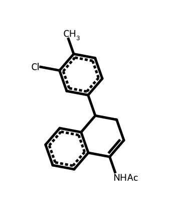 CC(=O)NC1=CCC(c2ccc(C)c(Cl)c2)c2ccccc21